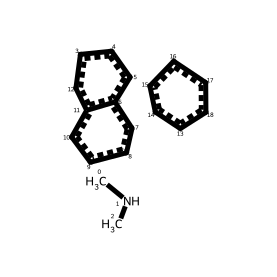 CNC.c1ccc2ccccc2c1.c1ccccc1